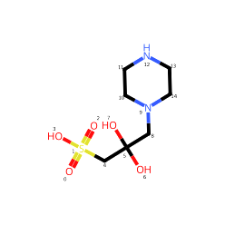 O=S(=O)(O)CC(O)(O)CN1CCNCC1